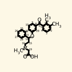 Cc1cccc(C(=O)c2cccc(OC(CCN(C)CC(=O)O)c3ccccc3)c2)c1C